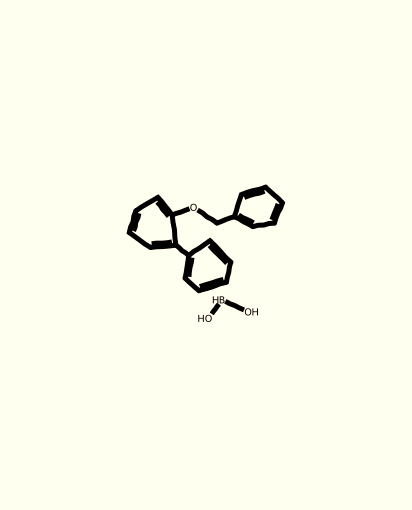 OBO.c1ccc(COc2ccccc2-c2ccccc2)cc1